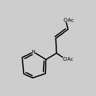 CC(=O)OC=CC(OC(C)=O)c1ccccn1